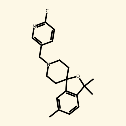 Cc1ccc2c(c1)C1(CCN(Cc3ccc(Cl)nc3)CC1)OC2(C)C